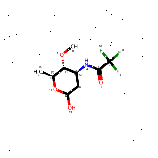 CO[C@@H]1[C@@H](NC(=O)C(F)(F)F)CC(O)O[C@H]1C